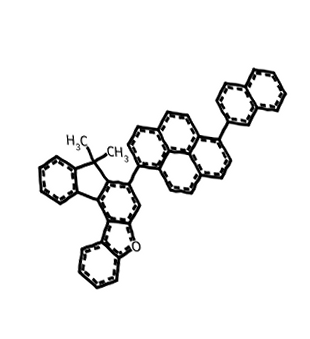 CC1(C)c2ccccc2-c2c1c(-c1ccc3ccc4c(-c5ccc6ccccc6c5)ccc5ccc1c3c54)cc1oc3ccccc3c21